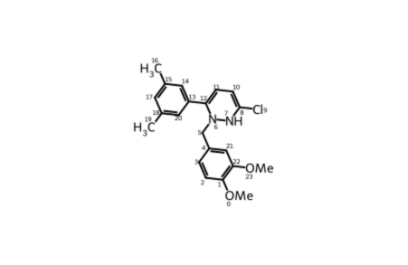 COc1ccc(CN2NC(Cl)=CC=C2c2cc(C)cc(C)c2)cc1OC